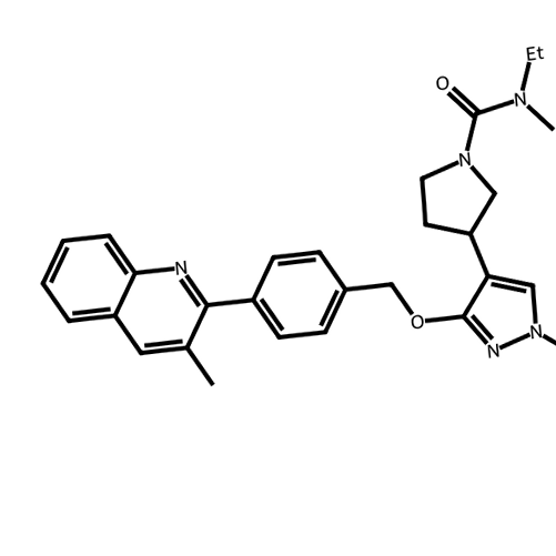 CCN(C)C(=O)N1CCC(c2cn(C)nc2OCc2ccc(-c3nc4ccccc4cc3C)cc2)C1